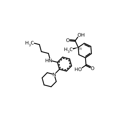 CCCCNc1ccccc1N1CCCCC1.C[C@@]1(C(=O)O)C=CC=C(C(=O)O)C1